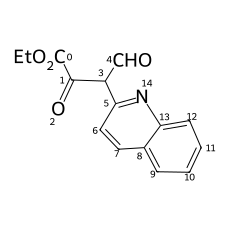 CCOC(=O)C(=O)C(C=O)c1ccc2ccccc2n1